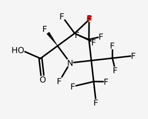 O=C(O)[C@@](F)(N(F)C(C(F)(F)F)(C(F)(F)F)C(F)(F)F)C(F)(F)F